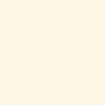 O=C(O)c1cc2ccncc2n1Cc1cccc(F)c1